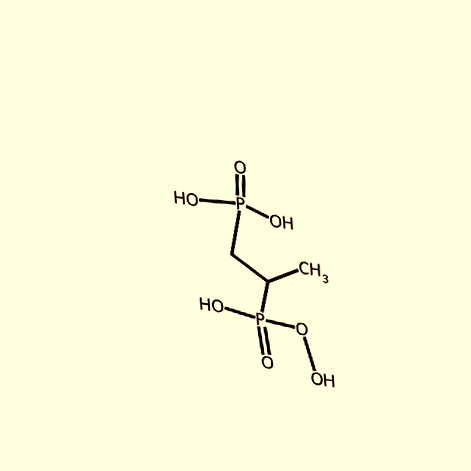 CC(CP(=O)(O)O)P(=O)(O)OO